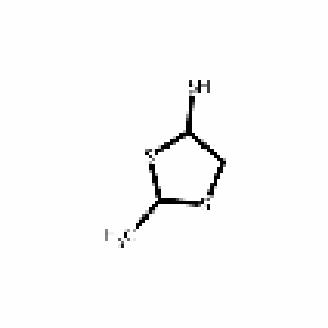 CC1SCC(S)S1